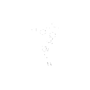 COC(=O)C(OC(C)(C)C)c1c(C)cc2nc(-c3nc(N4CCN(C(C)C)CC4)cs3)sc2c1-c1ccc(Cl)cc1